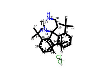 CC(C)(C)c1cccc(C(C)(C)C)c1C1(c2c(C(C)(C)C)cccc2C(C)(C)C)CC[NH][Ti+2][NH]1.[Cl-].[Cl-]